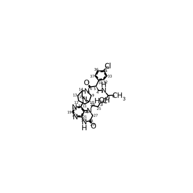 CC(C)NC[C@@H](C(=O)N1CC2CCCC1CN2c1ncnc2c1N(CCO)CC(=O)N2)c1ccc(Cl)cc1